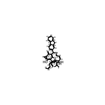 C=Cc1c(C(O)=C(C)C)oc(=C(/C(=C)C2CC2)C(/N=C/C=C\C(/C=C/C=C\C=C/C)CC)c2ccc3c(c2)Cc2ccccc2-3)/c1=C(\C)O